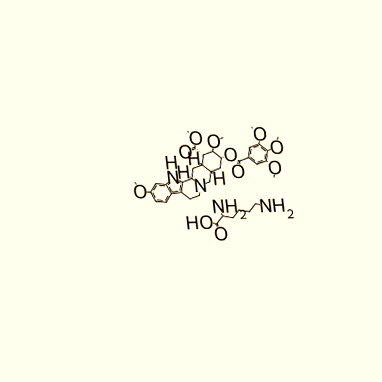 COC(=O)[C@H]1[C@H]2C[C@@H]3c4[nH]c5cc(OC)ccc5c4CCN3C[C@H]2C[C@@H](OC(=O)c2cc(OC)c(OC)c(OC)c2)[C@@H]1OC.NCCCCC(N)C(=O)O